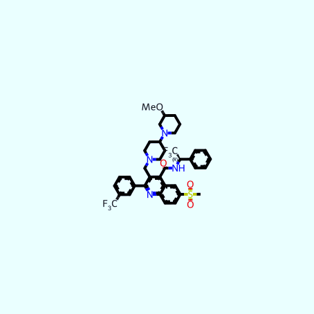 COC1CCCN(C2CCN(Cc3c(-c4cccc(C(F)(F)F)c4)nc4ccc(S(C)(=O)=O)cc4c3C(=O)N[C@H](c3ccccc3)C(F)(F)F)CC2)C1